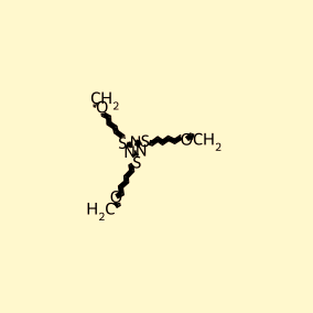 C=COCCCCCCSc1nc(SCCCCCCOC=C)nc(SCCCCCCOC=C)n1